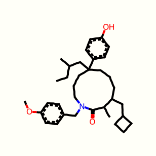 CCC(C)CC1(c2ccc(O)cc2)CCCC(CC2CCC2)C(C)C(=O)N(Cc2ccc(OC)cc2)CCC1